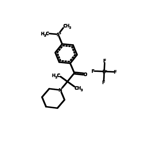 C[S+](C)c1ccc(C(=O)C(C)(C)N2CCCCC2)cc1.F[B-](F)(F)F